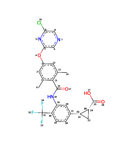 Cc1cc(Oc2cncc(Cl)n2)cc(C)c1C(=O)Nc1cc([C@H]2C[C@H]2C(=O)O)ccc1C(F)(F)F